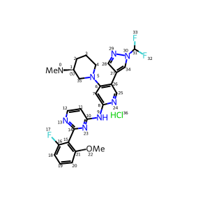 CN[C@H]1CCCN(c2cc(Nc3ccnc(-c4c(F)cccc4OC)n3)ncc2-c2cnn(C(F)F)c2)C1.Cl